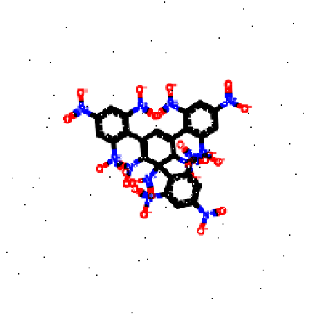 O=[N+]([O-])C1=C(c2c([N+](=O)[O-])cc([N+](=O)[O-])cc2[N+](=O)[O-])C=C(c2c([N+](=O)[O-])cc([N+](=O)[O-])cc2[N+](=O)[O-])C([N+](=O)[O-])C1(c1c([N+](=O)[O-])cc([N+](=O)[O-])cc1[N+](=O)[O-])[N+](=O)[O-]